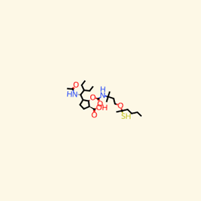 CCCCC(C)(S)OCCC(C)(C)NC(=O)O[C@H]1C([C@H](NC(C)=O)C(CC)CC)CC[C@@H]1C(=O)O